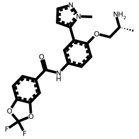 C[C@@H](N)COc1ccc(NC(=O)c2ccc3c(c2)OC(F)(F)O3)cc1-c1ccnn1C